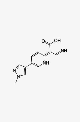 Cn1cc(C2=CN/C(=C(\C=N)C(=O)O)C=C2)cn1